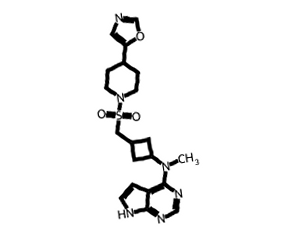 CN(c1ncnc2[nH]ccc12)C1CC(CS(=O)(=O)N2CCC(c3cnco3)CC2)C1